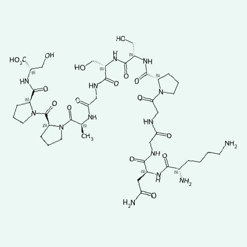 C[C@H](NC(=O)CNC(=O)[C@H](CO)NC(=O)[C@H](CO)NC(=O)[C@@H]1CCCN1C(=O)CNC(=O)CNC(=O)[C@H](CC(N)=O)NC(=O)[C@@H](N)CCCCN)C(=O)N1CCC[C@H]1C(=O)N1CCC[C@H]1C(=O)N[C@@H](CO)C(=O)O